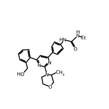 CCNC(=O)Nc1ccc(-c2cc(-c3ccccc3CO)nc(N3CCOCC3C)n2)cc1